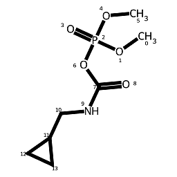 COP(=O)(OC)OC(=O)NCC1CC1